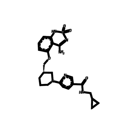 NC1=NS(=O)(=O)Nc2cccc(OC[C@H]3CCCN(c4ccc(C(=O)NCC5CC5)cn4)C3)c21